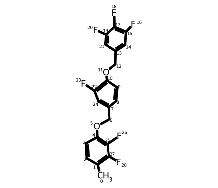 Cc1ccc(OCc2ccc(OCc3cc(F)c(F)c(F)c3)c(F)c2)c(F)c1F